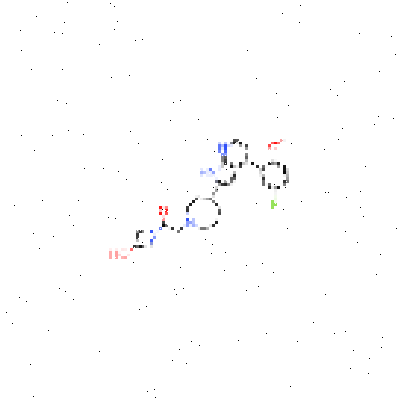 COc1ccc(F)cc1-c1ccnc2[nH]c(C3CCCN(CC(=O)N4CC(O)C4)CC3)cc12